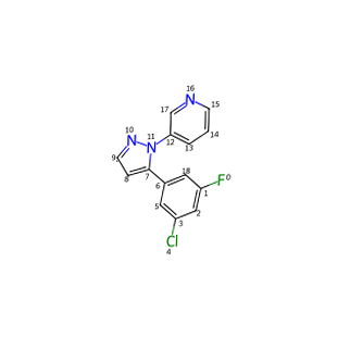 Fc1cc(Cl)cc(-c2c[c]nn2-c2cccnc2)c1